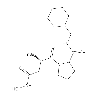 CCCC[C@H](CC(=O)NO)C(=O)N1CCC[C@H]1C(=O)NCC1CCCCC1